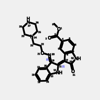 COC(=O)c1ccc2c(c1)/C(=C1/Nc3ccccc3/C1=N\OCCN1CCNCC1)C(=O)N2